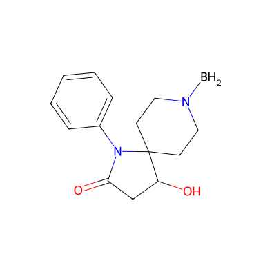 BN1CCC2(CC1)C(O)CC(=O)N2c1ccccc1